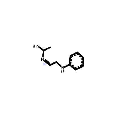 CC(C)C(C)/N=C\CNc1ccccc1